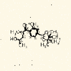 Cc1cc(B2OC(C)(C)C(C)(C)O2)ccc1C(=O)N(C)CC(C)O